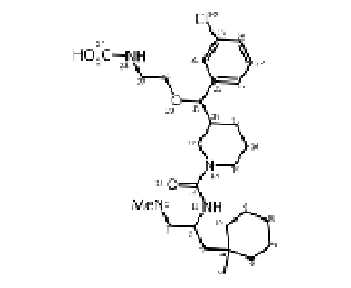 CNCC(CC1(C)CCCCC1)NC(=O)N1CCCC(C(OCCNC(=O)O)c2cccc(Cl)c2)C1